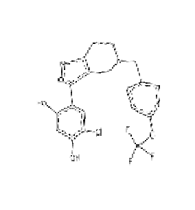 Oc1cc(O)c(-c2onc3c2CN(Cc2ccc(OC(F)(F)F)cc2)CC3)cc1Cl